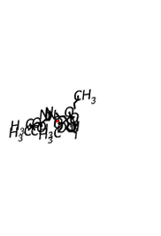 CCCCOC(=O)C(C[C@@H](F)Cn1cc(C(=O)OC(C)(C)C)nn1)(C(=O)OC)c1ccc(I)nn1